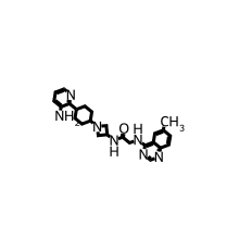 Cc1ccc2ncnc(NCC(=O)NC3CN(C4CCC(c5ncccc5N)CC4)C3)c2c1